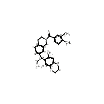 Cc1ccc(C(=O)N2CCc3ccc([C@H](CC(=O)O)c4cc5c(cc4C)OCCO5)cc3C2)cc1C